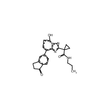 CCCNC(=O)C1(c2nc3c(-c4ccc5c(c4)CCC5=O)ccc(O)n3n2)CC1